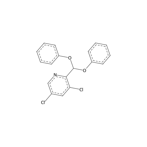 Clc1cnc(C(Oc2ccccc2)Oc2ccccc2)c(Cl)c1